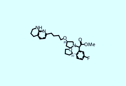 COC(=O)C(c1cc(F)ccc1[C@@H]1CCCO1)N1CC[C@@H](OCCCCc2ccc3c(n2)NCCC3)C1